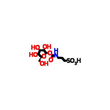 O=C(NCCCS(=O)(=O)O)OC1O[C@H](CO)[C@@H](O)[C@H](O)[C@H]1O